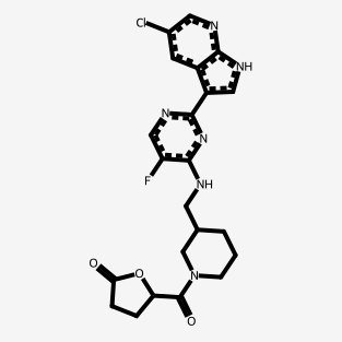 O=C1CCC(C(=O)N2CCCC(CNc3nc(-c4c[nH]c5ncc(Cl)cc45)ncc3F)C2)O1